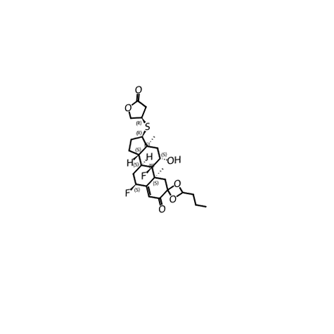 CCCC1OC2(C[C@@]3(C)C(=CC2=O)[C@@H](F)C[C@H]2[C@@H]4CC[C@@H](S[C@H]5COC(=O)C5)[C@@]4(C)C[C@H](O)[C@@]23F)O1